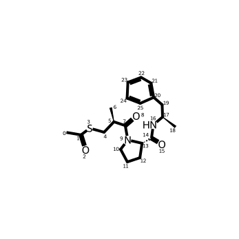 CC(=O)SC[C@@H](C)C(=O)N1CCC[C@H]1C(=O)N[C@H](C)Cc1ccccc1